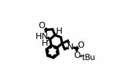 CC(C)(C)OC(=O)N1CC2(C[C@@H]3CC(=O)N[C@@H]3c3ccccc32)C1